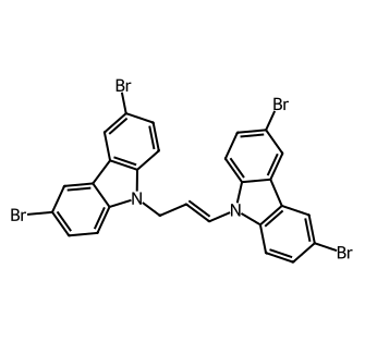 Brc1ccc2c(c1)c1cc(Br)ccc1n2/C=C/Cn1c2ccc(Br)cc2c2cc(Br)ccc21